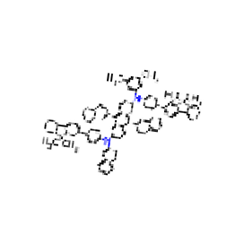 Cc1cc(C)cc(N(c2ccc(-c3ccc4c(c3)C(C)(C)c3ccccc3-4)cc2)c2ccc3c(-c4ccc5ccccc5c4)c4cc(N(c5ccc(-c6ccc7c(c6)C(C)(C)c6ccccc6-7)cc5)c5ccc6ccccc6c5)ccc4c(-c4ccc5ccccc5c4)c3c2)c1